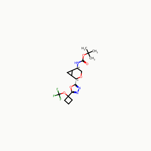 CC(C)(C)OC(=O)N[C@H]1CO[C@H](c2nnc(C3(OC(F)(F)F)CCC3)o2)C2CC21